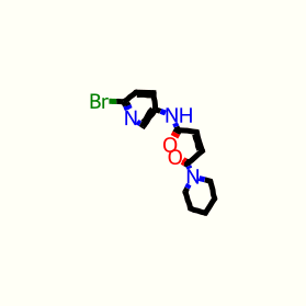 O=C(/C=C\C(=O)N1CCCCC1)Nc1ccc(Br)nc1